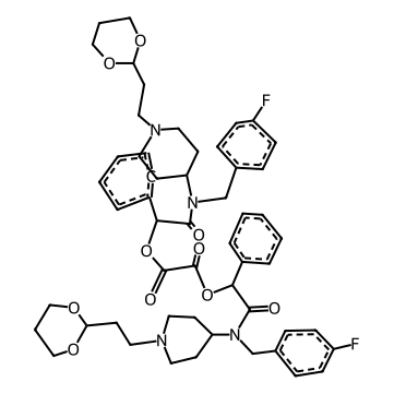 O=C(OC(C(=O)N(Cc1ccc(F)cc1)C1CCN(CCC2OCCCO2)CC1)c1ccccc1)C(=O)OC(C(=O)N(Cc1ccc(F)cc1)C1CCN(CCC2OCCCO2)CC1)c1ccccc1